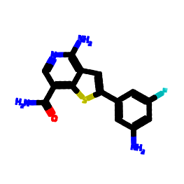 NC(=O)c1cnc(N)c2cc(-c3cc(N)cc(F)c3)sc12